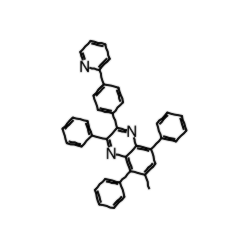 Cc1cc(-c2ccccc2)c2nc(-c3ccc(-c4ccccn4)cc3)c(-c3ccccc3)nc2c1-c1ccccc1